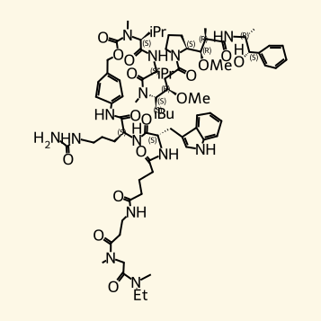 CC[C@H](C)[C@@H]([C@@H](CC(=O)N1CCC[C@H]1[C@H](OC)[C@@H](C)C(=O)N[C@H](C)[C@@H](O)c1ccccc1)OC)N(C)C(=O)[C@@H](NC(=O)[C@H](C(C)C)N(C)C(=O)OCc1ccc(NC(=O)[C@H](CCCNC(N)=O)NC(=O)[C@H](Cc2c[nH]c3ccccc23)NC(=O)CCCC(=O)NCCC(=O)N(C)CC(=O)N(C)CC)cc1)C(C)C